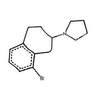 Brc1cccc2c1CC(N1CCCC1)CC2